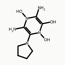 NC1=C(O)N(O)C(N2CCCC2)=C(N)N1O